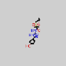 CC(C)(C(=O)Nc1nnc(-c2ccc(O)cc2)[nH]1)S(=O)(=O)CC1CC1